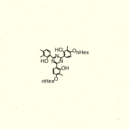 CCCCCCOc1ccc(-c2nc(-c3ccc(C)c(C)c3O)nc(-c3ccc(OCCCCCC)c(C)c3O)n2)c(O)c1C